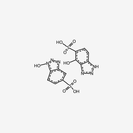 O=S(=O)(O)c1ccc2[nH]nnc2c1O.O=S(=O)(O)c1ccc2c(c1)nnn2O